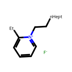 CCCCCCCCC[n+]1ccccc1CC.[F-]